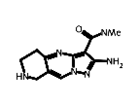 CNC(=O)c1c(N)nn2cc3c(nc12)CCNC3